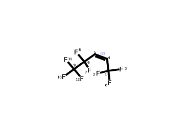 FC(F)(F)/C=C\C(F)(F)C(F)(F)F